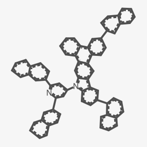 c1ccc2cc(-c3ccc4c(c3)c3ccccc3c3cc5c(cc43)c3cc(-c4cccc6ccccc46)ccc3n5-c3cc(-c4ccc5ccccc5c4)nc(-c4ccc5ccccc5c4)c3)ccc2c1